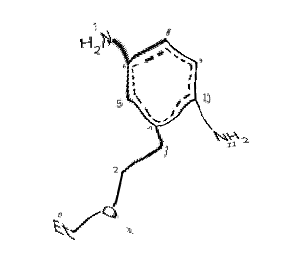 CCOCCc1cc(N)ccc1N